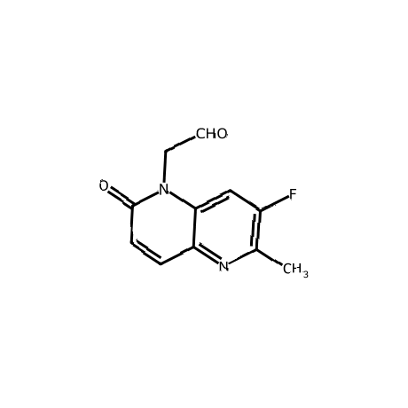 Cc1nc2ccc(=O)n(CC=O)c2cc1F